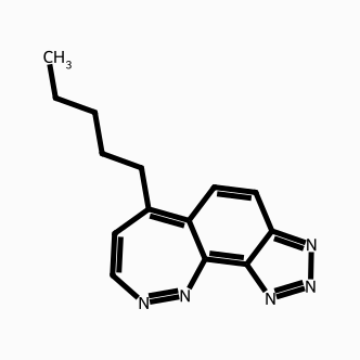 CCCCCc1ccnnc2c1ccc1nnnc12